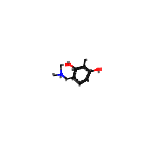 Cc1c(O)ccc(CN(C)C)c1O